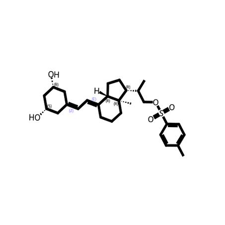 Cc1ccc(S(=O)(=O)OCC(C)[C@H]2CC[C@H]3/C(=C/C=C4\C[C@@H](O)C[C@@H](O)C4)CCC[C@]23C)cc1